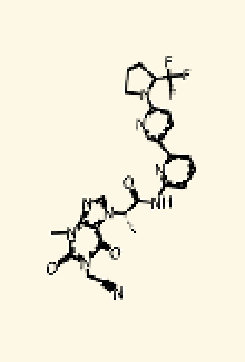 C[C@@H](C(=O)Nc1cccc(-c2ccc(N3CCC[C@H]3C(F)(F)F)nc2)n1)n1cnc2c1c(=O)n(CC#N)c(=O)n2C